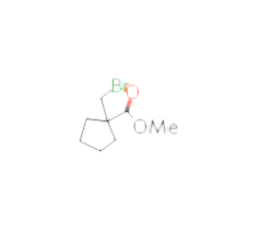 COC(=O)C1(CBr)CCCC1